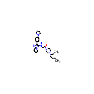 C=C/C=C\C(=C\C)N1CCN(C(=O)CNc2c(-c3ccc(N4CCCC4)cc3)nc3ccccn23)CC1